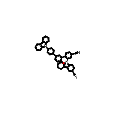 N#Cc1ccc(-c2cc(-c3ccc(-n4c5ccccc5c5ccccc54)cc3)ccc2C#N)c(-n2c3c(c4cc(C#N)ccc42)CCC=C3)c1